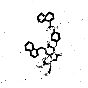 C#CCN(C(=O)NC)N1CC(=O)N2[C@@H](Cc3ccc(NC(=O)c4cccc5ccccc45)cc3)C(=O)N(Cc3cccc4ccccc34)C[C@@H]21